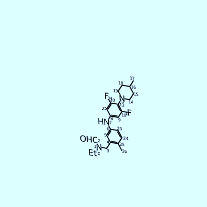 CCN(C=O)Cc1cc(Nc2cc(F)c(N3CCC(C)CC3)c(F)c2)ccc1C